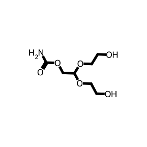 NC(=O)OCC(OCCO)OCCO